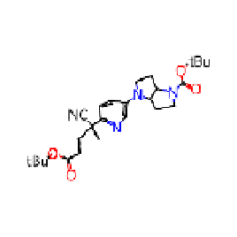 CC(C)(C)OC(=O)CCC(C)(C#N)c1ccc(N2CCC3C2CCN3C(=O)OC(C)(C)C)cn1